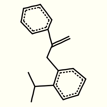 C=C(Cc1ccccc1C(C)C)c1ccccc1